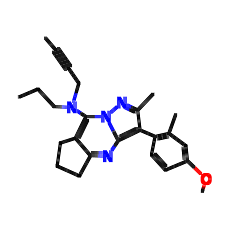 CC#CCN(CCC)c1c2c(nc3c(-c4ccc(OC)cc4C)c(C)nn13)CCC2